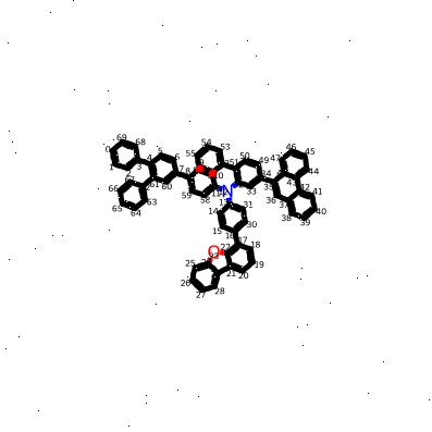 c1ccc(-c2ccc(-c3ccc(N(c4ccc(-c5cccc6c5oc5ccccc56)cc4)c4cc(-c5cc6ccccc6c6ccccc56)ccc4-c4ccccc4)cc3)cc2-c2ccccc2)cc1